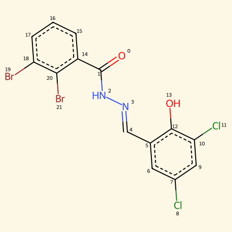 O=C(NN=Cc1cc(Cl)cc(Cl)c1O)c1cccc(Br)c1Br